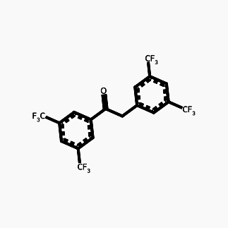 O=C(Cc1cc(C(F)(F)F)cc(C(F)(F)F)c1)c1cc(C(F)(F)F)cc(C(F)(F)F)c1